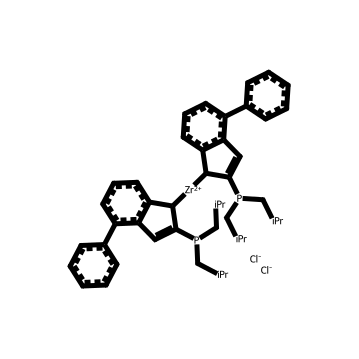 CC(C)CP(CC(C)C)C1=Cc2c(-c3ccccc3)cccc2[CH]1[Zr+2][CH]1C(P(CC(C)C)CC(C)C)=Cc2c(-c3ccccc3)cccc21.[Cl-].[Cl-]